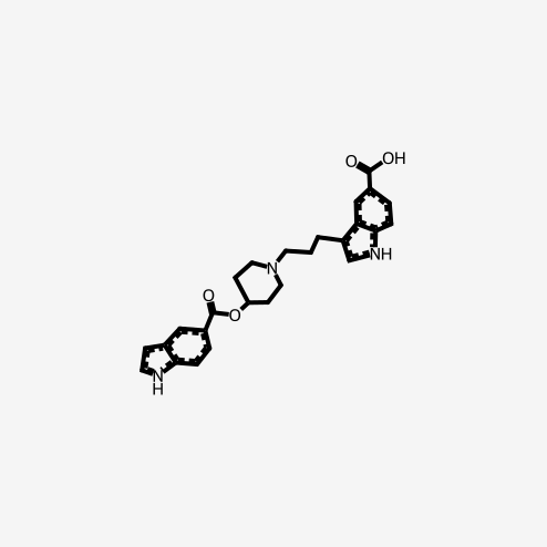 O=C(O)c1ccc2[nH]cc(CCCN3CCC(OC(=O)c4ccc5[nH]ccc5c4)CC3)c2c1